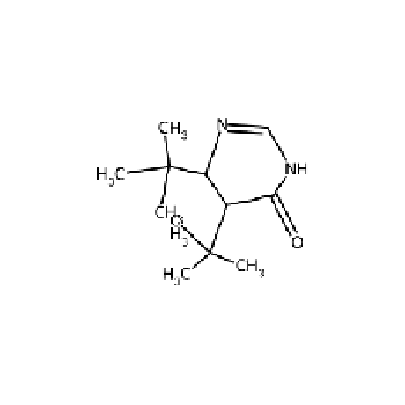 CC(C)(C)C1N=CNC(=O)C1C(C)(C)C